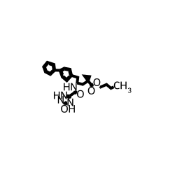 CCCCOC(=O)C1(CC(Cc2ccc(-c3ccccc3)cc2)NC(=O)c2nc(O)n[nH]2)CC1